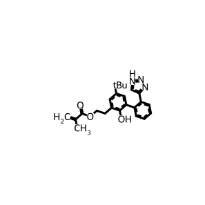 C=C(C)C(=O)OCCc1cc(C(C)(C)C)cc(-c2ccccc2-c2c[nH]nn2)c1O